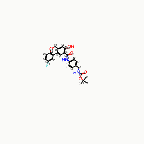 CC(C)(C)OC(=O)NCc1ccc(NC(=O)c2cc3c(cc2O)COc2ccc(F)cc2-3)cc1